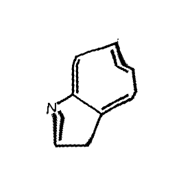 [c]1ccc2c(c1)N=CC2